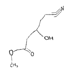 COC(=O)CC(O)CC#N